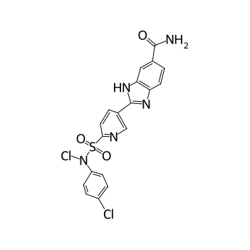 NC(=O)c1ccc2nc(-c3ccc(S(=O)(=O)N(Cl)c4ccc(Cl)cc4)nc3)[nH]c2c1